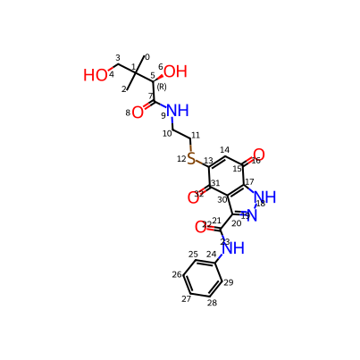 CC(C)(CO)[C@@H](O)C(=O)NCCSC1=CC(=O)c2[nH]nc(C(=O)Nc3ccccc3)c2C1=O